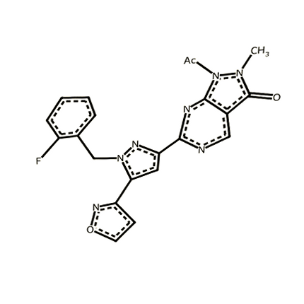 CC(=O)n1c2nc(-c3cc(-c4ccon4)n(Cc4ccccc4F)n3)ncc2c(=O)n1C